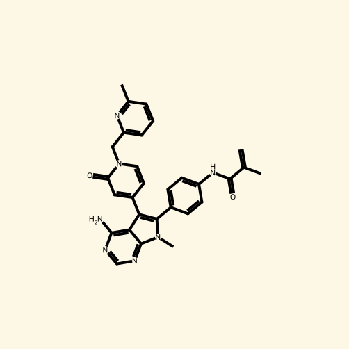 C=C(C)C(=O)Nc1ccc(-c2c(-c3ccn(Cc4cccc(C)n4)c(=O)c3)c3c(N)ncnc3n2C)cc1